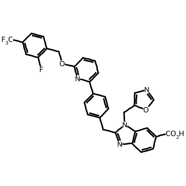 O=C(O)c1ccc2nc(Cc3ccc(-c4cccc(OCc5ccc(C(F)(F)F)cc5F)n4)cc3)n(Cc3cnco3)c2c1